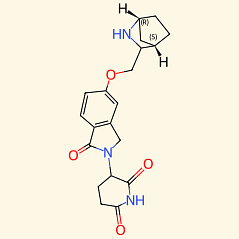 O=C1CCC(N2Cc3cc(OCC4N[C@@H]5CC[C@H]4C5)ccc3C2=O)C(=O)N1